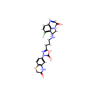 O=C1CSc2ccc(-n3nc(CCCN[C@@H]4Cn5c(=O)cnc6ccc(F)c4c65)oc3=O)cc2N1